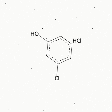 Cl.Oc1cccc(Cl)c1